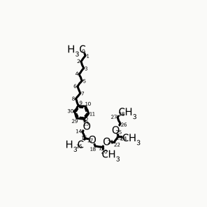 CCCCCCCCCc1ccc(OCC(C)OCC(C)OCC(C)OCCC)cc1